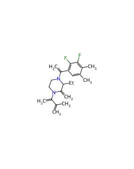 C=C(C)C(=C)N1CCN(C(=C)c2cc(C)c(C)c(F)c2F)C(CC)C1=C